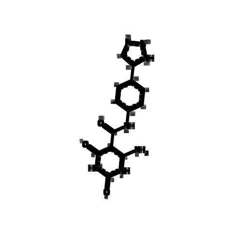 Nc1[nH]c(=O)[nH]c(=O)c1C(=O)Nc1ccc(-c2cnn[nH]2)cc1